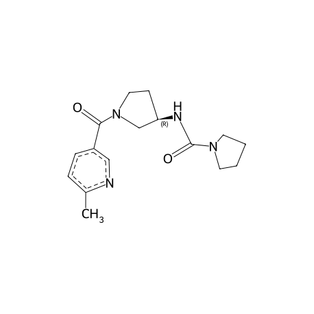 Cc1ccc(C(=O)N2CC[C@@H](NC(=O)N3CCCC3)C2)cn1